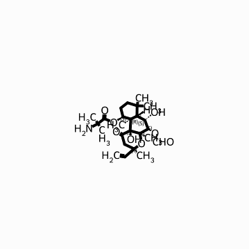 C=C[C@@]1(C)CC(=O)[C@]2(O)[C@@]3(C)[C@@H](OC(=O)C(C)(C)N)CCC(C)(C)[C@@H]3[C@H](O)[C@H](OC=O)[C@@]2(C)O1